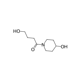 O=C(CCCO)N1CCC(O)CC1